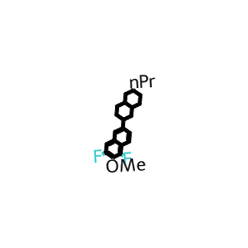 CCCC1CCC2CC(c3ccc4c(F)c(OC)c(F)cc4c3)CCC2C1